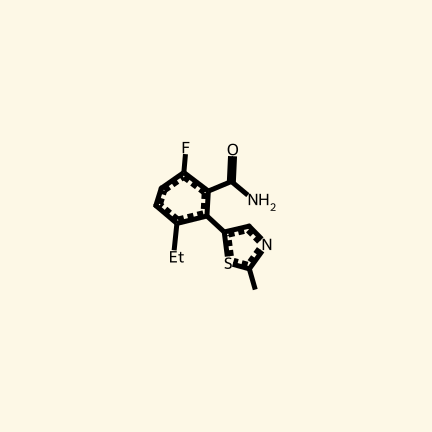 CCc1ccc(F)c(C(N)=O)c1-c1cnc(C)s1